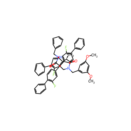 COc1cc(CN(CC(C(=O)NCc2ccccc2)(c2ccc(-c3ccccc3)c(F)c2)c2ccc(-c3ccccc3)c(F)c2)C(=O)[C@H](C)c2ccc(-c3ccccc3)c(F)c2)cc(OC)c1